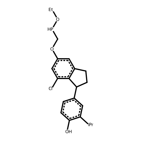 CCOPCOc1cc(Cl)c2c(c1)CCC2c1ccc(O)c(C(C)C)c1